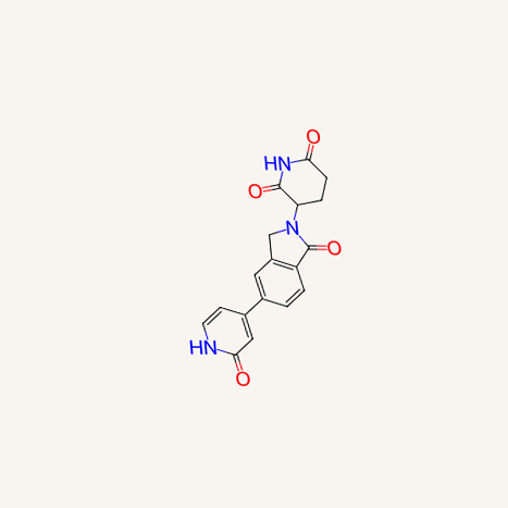 O=C1CCC(N2Cc3cc(-c4cc[nH]c(=O)c4)ccc3C2=O)C(=O)N1